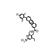 CCc1cc(N)nc(C)c1CNC(=O)c1ccc2c(c1)c1oc2c2ccc(-c3c(C)cc(F)cc3F)cc21